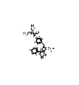 CN(C)C(=O)Oc1ccc(C[C@H](NC2(c3ccccc3)N=NN=N2)C(=O)O)cc1